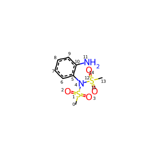 CS(=O)(=O)N(c1ccccc1N)S(C)(=O)=O